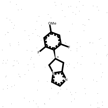 COc1cc(F)c([C@H]2Cc3nccn3C2)c(F)c1